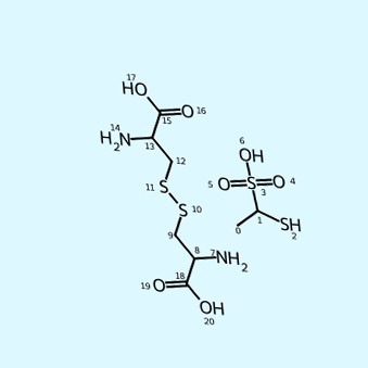 CC(S)S(=O)(=O)O.NC(CSSCC(N)C(=O)O)C(=O)O